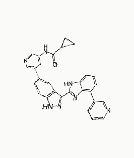 O=C(Nc1cncc(-c2ccc3[nH]nc(-c4nc5c(-c6cccnc6)cccc5[nH]4)c3c2)c1)C1CC1